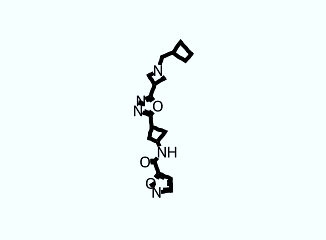 O=C(NC1CC(c2nnc(C3CN(CC4CCC4)C3)o2)C1)c1ccno1